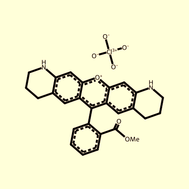 COC(=O)c1ccccc1-c1c2cc3c(cc2[o+]c2cc4c(cc12)CCCN4)NCCC3.[O-][Cl+3]([O-])([O-])[O-]